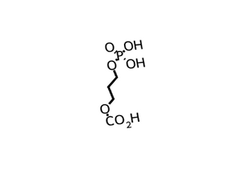 O=C(O)OCCCOP(=O)(O)O